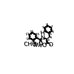 COC(=O)[C@H](Cc1ccccc1)NC(=O)c1ccccc1C=O